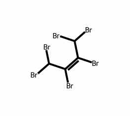 Br/C(=C(\Br)C(Br)Br)C(Br)Br